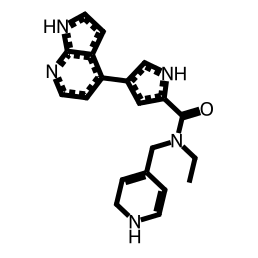 CCN(CC1=CCNC=C1)C(=O)c1cc(-c2ccnc3[nH]ccc23)c[nH]1